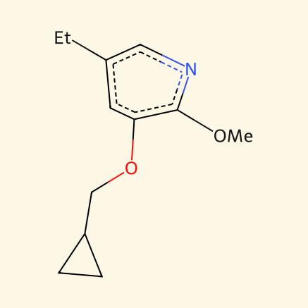 CCc1cnc(OC)c(OCC2CC2)c1